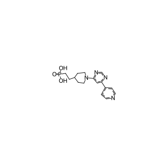 O=P(O)(O)CCC1CCN(c2cc(-c3ccncc3)ncn2)CC1